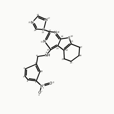 O=[N+]([O-])c1cccc(CNc2nc(-n3cncn3)nc3sc4c(c23)CCCC4)c1